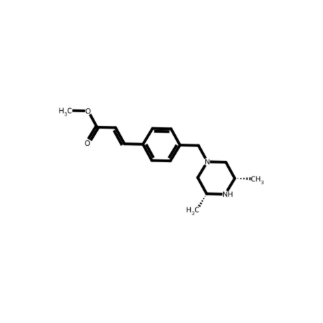 COC(=O)/C=C/c1ccc(CN2C[C@@H](C)N[C@@H](C)C2)cc1